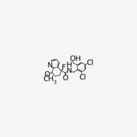 CO[C@@H]1CC[C@@](F)(C(=O)NCc2c(Cl)cc(Cl)cc2CO)c2cccnc21